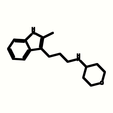 Cc1[nH]c2ccccc2c1CCCNC1CCOCC1